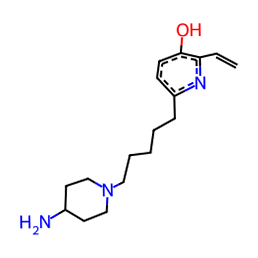 C=Cc1nc(CCCCCN2CCC(N)CC2)ccc1O